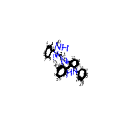 CNC(C1C=CCCC1)N(C)CN1C2=CCCC=C2C2C1=CC=CC2NC1C=CC=CC1